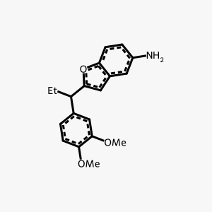 CCC(c1ccc(OC)c(OC)c1)c1cc2cc(N)ccc2o1